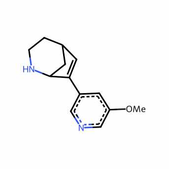 COc1cncc(C2=CC3CCNC2C3)c1